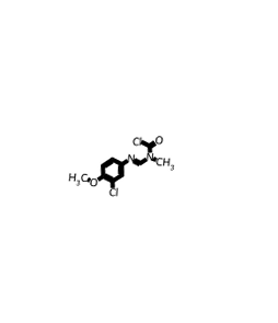 COc1ccc(N=CN(C)C(=O)Cl)cc1Cl